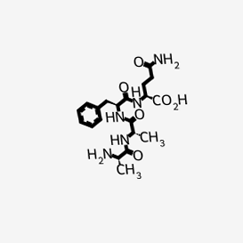 C[C@H](N)C(=O)N[C@@H](C)C(=O)N[C@@H](Cc1ccccc1)C(=O)N[C@@H](CCC(N)=O)C(=O)O